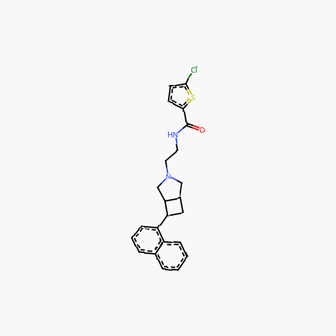 O=C(NCCN1CC2CC(c3cccc4ccccc34)C2C1)c1ccc(Cl)s1